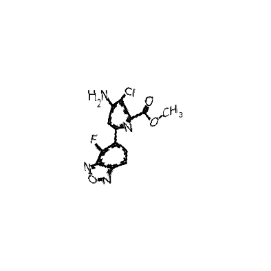 COC(=O)c1nc(-c2ccc3nonc3c2F)cc(N)c1Cl